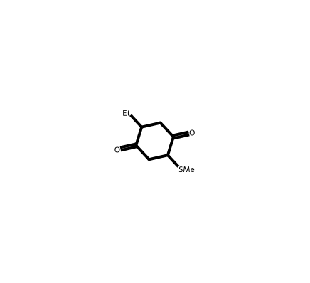 CCC1CC(=O)C(SC)CC1=O